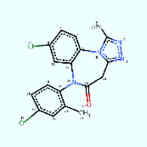 CCCc1nnc2n1-c1ccc(Cl)cc1N(c1ccc(Cl)cc1C)C(=O)C2